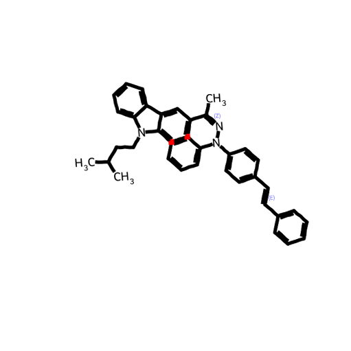 C/C(=N/N(c1ccccc1)c1ccc(/C=C/c2ccccc2)cc1)c1ccc2c(c1)c1ccccc1n2CCC(C)C